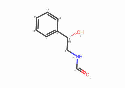 O=CNC[C@@H](O)c1ccccc1